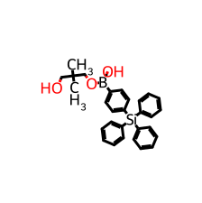 CC(C)(CO)COB(O)c1ccc([Si](c2ccccc2)(c2ccccc2)c2ccccc2)cc1